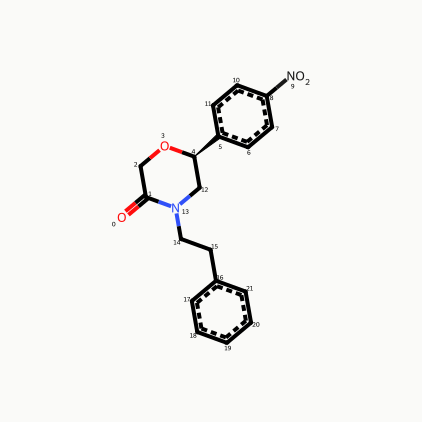 O=C1CO[C@@H](c2ccc([N+](=O)[O-])cc2)CN1CCc1ccccc1